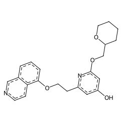 Oc1cc(CCOc2cccc3cnccc23)nc(OCC2CCCCO2)c1